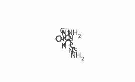 [C-]#[N+]c1c(N)nc(SCc2csc(N)n2)c(C#N)c1N1CCCCC1